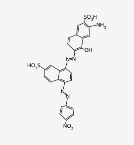 Nc1cc2c(O)c(N=Nc3ccc(N=Nc4ccc([N+](=O)[O-])cc4)c4ccc(S(=O)(=O)O)cc34)ccc2cc1S(=O)(=O)O